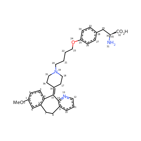 COc1ccc2c(c1)CCc1cccnc1C2=C1CCN(CCCCOc2ccc(C[C@H](N)C(=O)O)cc2)CC1